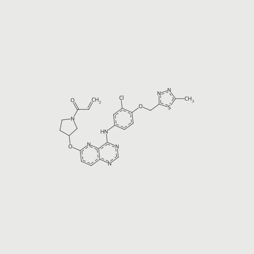 C=CC(=O)N1CCC(Oc2ccc3ncnc(Nc4ccc(OCc5nnc(C)s5)c(Cl)c4)c3n2)C1